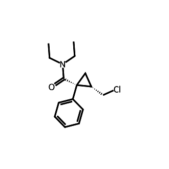 CCN(CC)C(=O)[C@]1(c2ccccc2)C[C@@H]1CCl